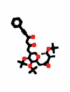 C[C@@H]([C@@H]1O[C@H]1C[C@@H]1OC[C@H](CC(=O)CC(=O)C#Cc2ccccc2)[C@@H](O[Si](C)(C)C)[C@@H]1O[Si](C)(C)C)[C@H](C)O[Si](C)(C)C